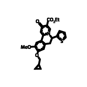 CCOC(=O)c1cn2c(cc1=O)-c1cc(OC)c(OCC3CC3)cc1CC2c1cccs1